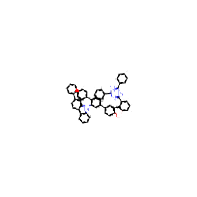 c1ccc(-c2ccc3c4ccccc4n(-c4cc(-c5ccc6oc7cccc(-c8nc(-c9ccccc9)nc(-c9ccccc9)n8)c7c6c5)ccc4-c4ccccc4)c3c2)cc1